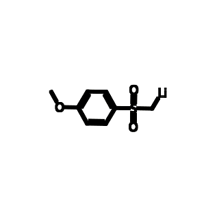 [Li][CH2]S(=O)(=O)c1ccc(OC)cc1